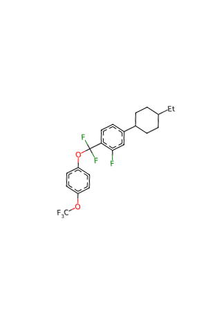 CCC1CCC(c2ccc(C(F)(F)Oc3ccc(OC(F)(F)F)cc3)c(F)c2)CC1